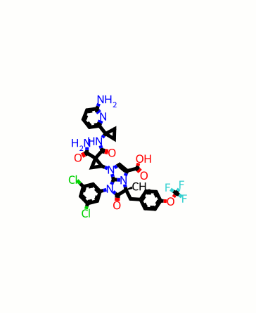 C[C@@]1(Cc2ccc(OC(F)(F)F)cc2)C(=O)N(c2cc(Cl)cc(Cl)c2)C2N(C3CC3(C(N)=O)C(=O)NC3(c4cccc(N)n4)CC3)C=C(C(=O)O)N21